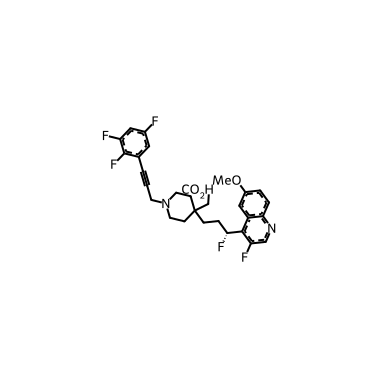 COc1ccc2ncc(F)c([C@H](F)CCC3(CC(=O)O)CCN(CC#Cc4cc(F)cc(F)c4F)CC3)c2c1